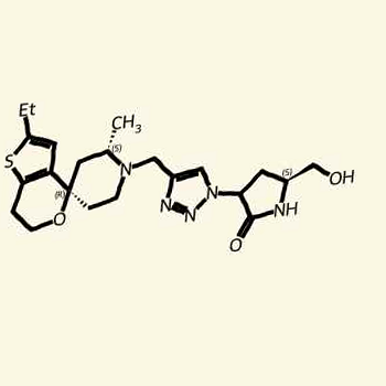 CCc1cc2c(s1)CCO[C@@]21CCN(Cc2cn(C3C[C@@H](CO)NC3=O)nn2)[C@@H](C)C1